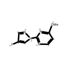 COc1ccnc(-n2cc(F)cn2)n1